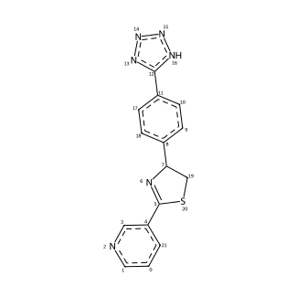 c1cncc(C2=NC(c3ccc(-c4nnn[nH]4)cc3)CS2)c1